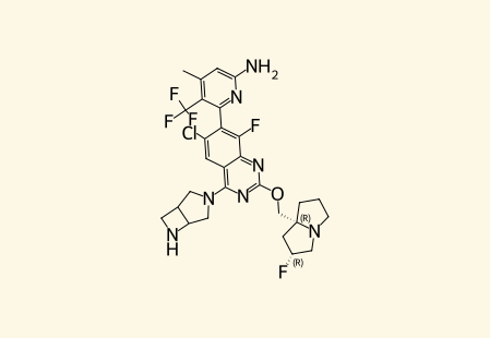 Cc1cc(N)nc(-c2c(Cl)cc3c(N4CC5CNC5C4)nc(OC[C@]45CCCN4C[C@H](F)C5)nc3c2F)c1C(F)(F)F